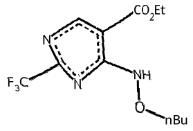 CCCCONc1nc(C(F)(F)F)ncc1C(=O)OCC